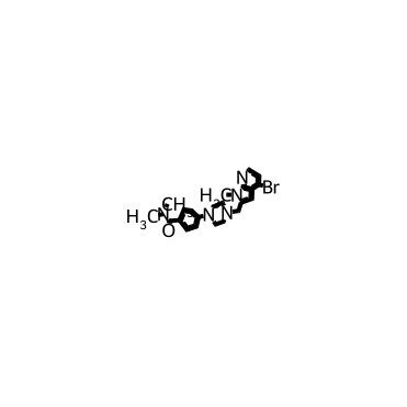 CN(C)C(=O)c1ccc(N2CCN(Cc3cc4c(Br)ccnc4n3C)CC2)cc1